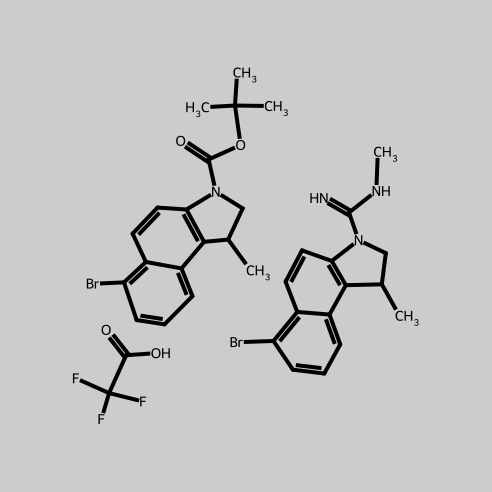 CC1CN(C(=O)OC(C)(C)C)c2ccc3c(Br)cccc3c21.CNC(=N)N1CC(C)c2c1ccc1c(Br)cccc21.O=C(O)C(F)(F)F